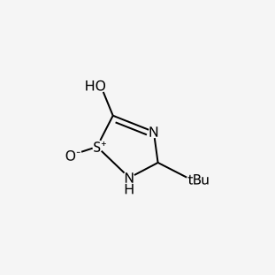 CC(C)(C)C1N=C(O)[S+]([O-])N1